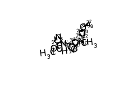 COC(=O)c1ccncc1NC[C@@H]1CCOc2cc(N(C)c3ccc(OC4CC4)cc3)ccc21